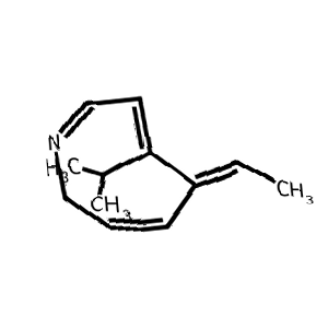 C/C=C1\C=C/C/N=C\C=C\1C(C)C